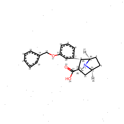 CN1[C@H]2CC[C@@H]1[C@@H](c1cccc(OCc3ccccc3)c1)[C@H](C(=O)O)C2